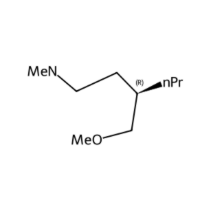 CCC[C@H](CCNC)COC